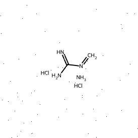 C=NC(=N)N.Cl.Cl.N